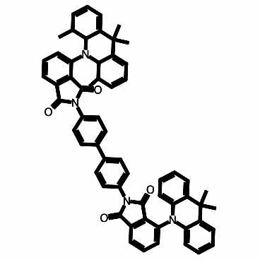 CC1C=CC=C2C1N(c1cccc3c1C(=O)N(c1ccc(-c4ccc(N5C(=O)c6cccc(N7c8ccccc8C(C)(C)c8ccccc87)c6C5=O)cc4)cc1)C3=O)C1C(=CC=CC1C)C2(C)C